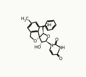 Cc1cc2c(c(-c3ccccc3)c1)[C@@]1(OC2)[C@@H](CO)O[C@@H](n2ccc(=O)[nH]c2=O)[C@@H]1O